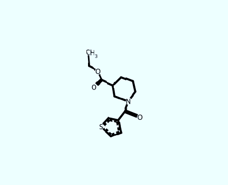 CCOC(=O)C1CCCN(C(=O)c2ccsc2)C1